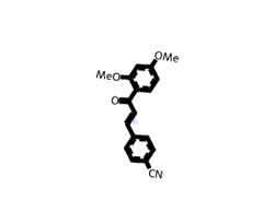 COc1ccc(C(=O)/C=C/c2ccc(C#N)cc2)c(OC)c1